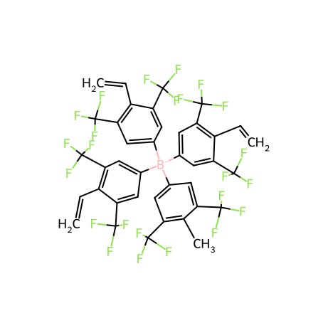 C=Cc1c(C(F)(F)F)cc([B-](c2cc(C(F)(F)F)c(C)c(C(F)(F)F)c2)(c2cc(C(F)(F)F)c(C=C)c(C(F)(F)F)c2)c2cc(C(F)(F)F)c(C=C)c(C(F)(F)F)c2)cc1C(F)(F)F